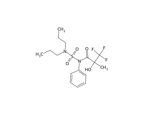 CCCN(CCC)S(=O)(=O)N(C(=O)C(C)(O)C(F)(F)F)c1ccccc1